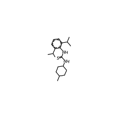 CC1CCC(NC(=S)Nc2c(C(C)C)cccc2C(C)C)CC1